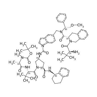 COC[C@@H](c1ccccc1)N(Cc1ccc2c(ccn2C(=O)N[C@H]2C[C@@H](C(=O)N[C@@H]3CCCc4ccccc43)N(C(=O)[C@@H](NC(=O)[C@H](C)N(C)C(=O)OC(C)(C)C)C(C)(C)C)C2)c1)C(=O)[C@@H]1Cc2ccccc2CN1C(=O)[C@@H](N)C(C)(C)C